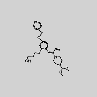 C=C/C(=C\c1ccc(OCc2ccccc2)cc1CCCCO)N1CCC(C(OC)OC)CC1